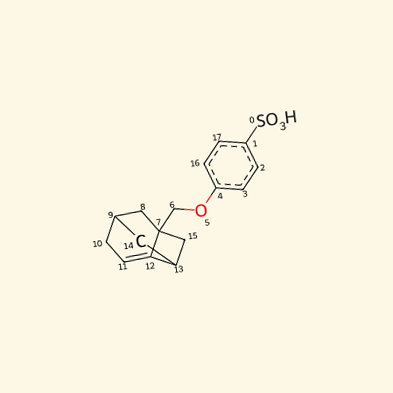 O=S(=O)(O)c1ccc(OCC23CC4CC=C2C(C4)C3)cc1